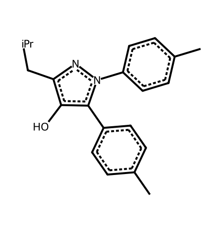 Cc1ccc(-c2c(O)c(CC(C)C)nn2-c2ccc(C)cc2)cc1